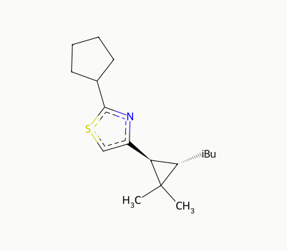 CCC(C)[C@H]1[C@H](c2csc(C3CCCC3)n2)C1(C)C